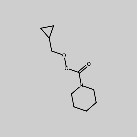 O=C(OOCC1CC1)N1CCCCC1